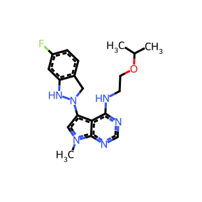 CC(C)OCCNc1ncnc2c1c(N1Cc3ccc(F)cc3N1)cn2C